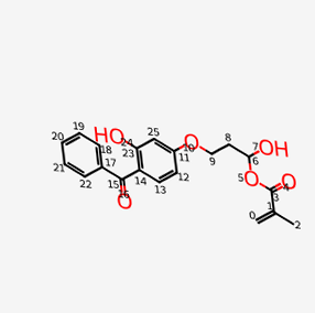 C=C(C)C(=O)OC(O)CCOc1ccc(C(=O)c2ccccc2)c(O)c1